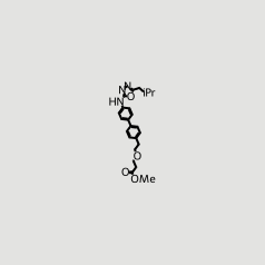 COC(=O)CCOCCc1ccc(-c2ccc(Nc3nnc(CC(C)C)o3)cc2)cc1